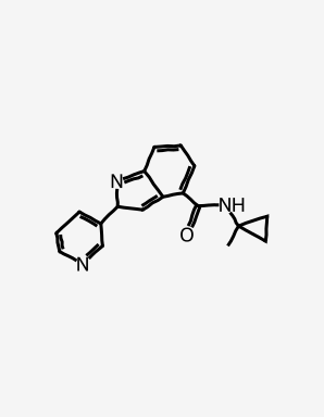 CC1(NC(=O)c2cccc3c2=CC(c2cccnc2)N=3)CC1